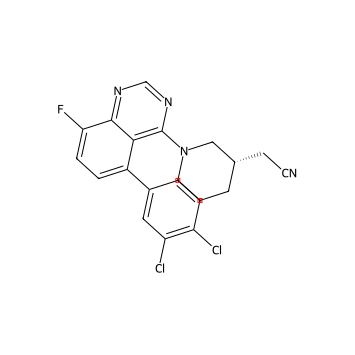 N#CC[C@@H]1CCCN(c2ncnc3c(F)ccc(-c4ccc(Cl)c(Cl)c4)c23)C1